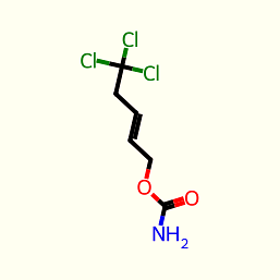 NC(=O)OCC=CCC(Cl)(Cl)Cl